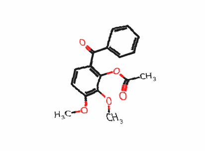 COc1ccc(C(=O)c2ccccc2)c(OC(C)=O)c1OC